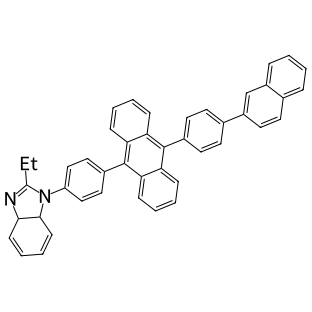 CCC1=NC2C=CC=CC2N1c1ccc(-c2c3ccccc3c(-c3ccc(-c4ccc5ccccc5c4)cc3)c3ccccc23)cc1